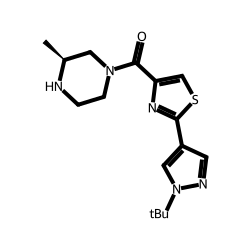 C[C@H]1CN(C(=O)c2csc(-c3cnn(C(C)(C)C)c3)n2)CCN1